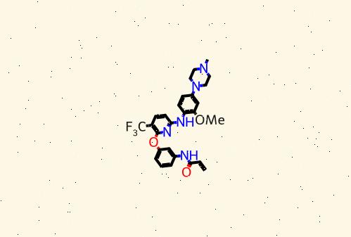 C=CC(=O)Nc1cccc(Oc2nc(Nc3ccc(N4CCN(C)CC4)cc3OC)ccc2C(F)(F)F)c1